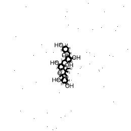 CCC1(C)c2cc(Cc3cc(CC4CC=C(O)C=C4O)c(O)cc3O)c(O)cc2OC(C)(c2ccc(O)cc2O)C1C